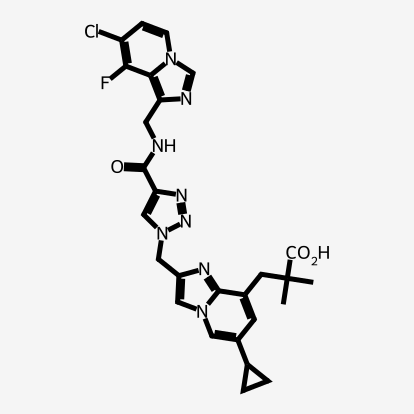 CC(C)(Cc1cc(C2CC2)cn2cc(Cn3cc(C(=O)NCc4ncn5ccc(Cl)c(F)c45)nn3)nc12)C(=O)O